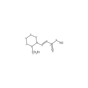 CCOC(=O)C1CCCCC1C=CC(=O)CCl